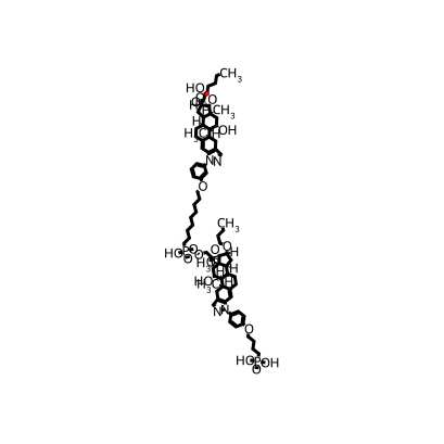 CCCCC1O[C@@H]2C[C@H]3[C@@H]4CCC5=Cc6c(cnn6-c6cccc(OCCCCCCCCCP(=O)(O)OOCC(=O)[C@@]78OC(CCC)O[C@@H]7C[C@H]7[C@@H]9CCC%10=Cc%11c(cnn%11-c%11ccc(OCCCCP(=O)(O)O)cc%11)C[C@]%10(C)[C@H]9[C@@H](O)C[C@@]78C)c6)C[C@]5(C)[C@H]4[C@@H](O)C[C@]3(C)[C@]2(C(=O)CO)O1